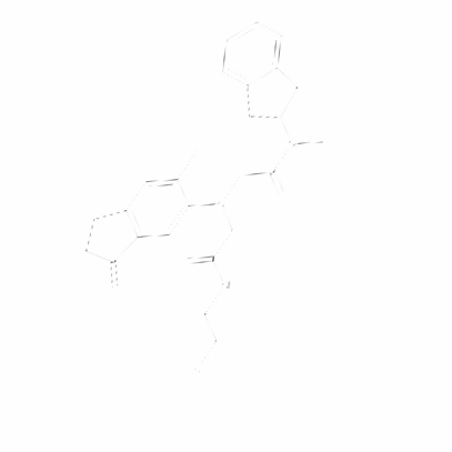 Cc1cc2c(cc1N(CC(=O)NCCN)CC(=O)N(C)C1Cc3ccccc3C1)C(=O)CC2